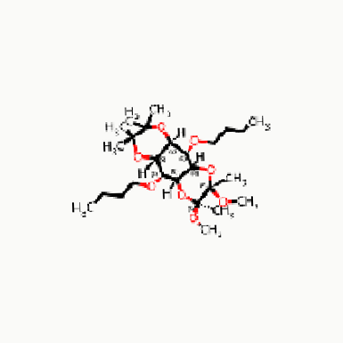 CCCCO[C@@H]1[C@@H]2OC(C)(C)C(C)(C)O[C@H]2[C@H](OCCCC)[C@H]2O[C@](C)(OC)[C@@](C)(OC)O[C@H]12